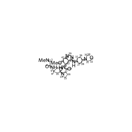 CN[C@@H](C)C(=O)NCC(C)(C)CC(=O)N1CCC[C@H]1C(=O)Nc1cc2c(Nc3ccc(N4CCOCC4)cc3)ncnc2cc1OC